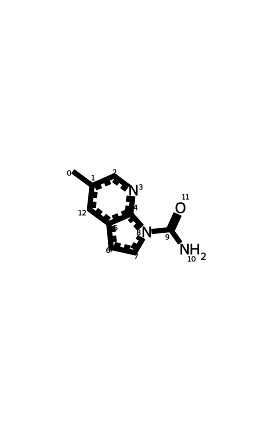 Cc1cnc2c([c]cn2C(N)=O)c1